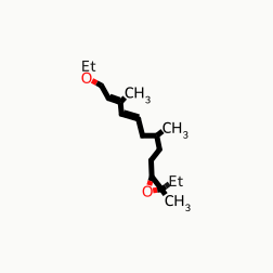 CCOC/C=C(C)/C=C/CC(C)CCC1OC1(C)CC